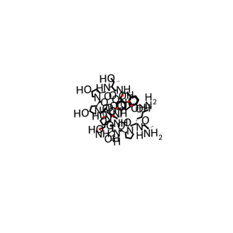 C[C@H](N)C(=O)N[C@@H](CCCCN)C(=O)N1CCC[C@H]1C(=O)N[C@@H](CO)C(=O)N[C@@H](Cc1ccc(O)cc1)C(=O)N1C[C@H](O)C[C@H]1C(=O)N1C[C@H](O)C[C@H]1C(=O)N1C[C@H](O)C[C@H]1C(=O)N[C@H](C(=O)N[C@@H](Cc1ccc(O)cc1)C(=O)N1C[C@H](O)C[C@H]1C(=O)N[C@@H](CCCCN)C(=O)O)[C@@H](C)O